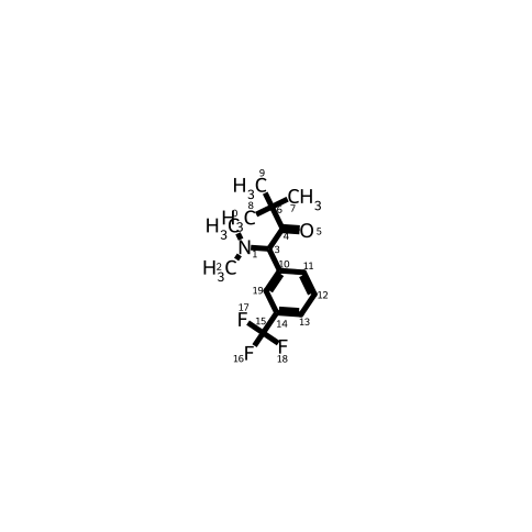 CN(C)C(C(=O)C(C)(C)C)c1cccc(C(F)(F)F)c1